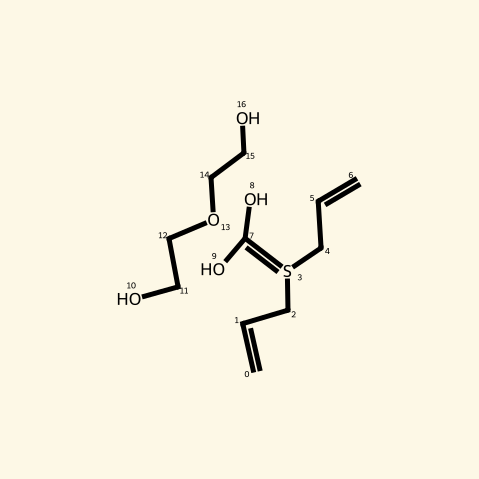 C=CCS(CC=C)=C(O)O.OCCOCCO